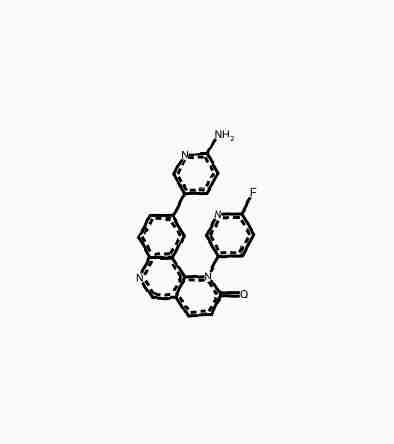 Nc1ccc(-c2ccc3ncc4ccc(=O)n(-c5ccc(F)nc5)c4c3c2)cn1